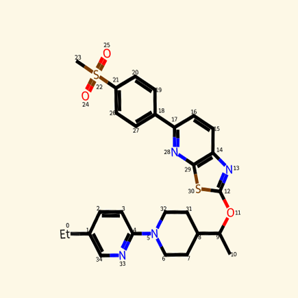 CCc1ccc(N2CCC(C(C)Oc3nc4ccc(-c5ccc(S(C)(=O)=O)cc5)nc4s3)CC2)nc1